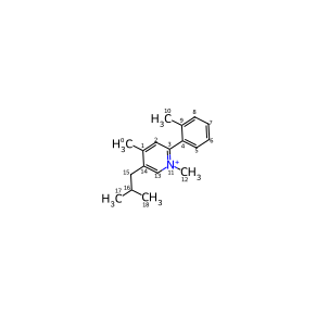 Cc1cc(-c2ccccc2C)[n+](C)cc1CC(C)C